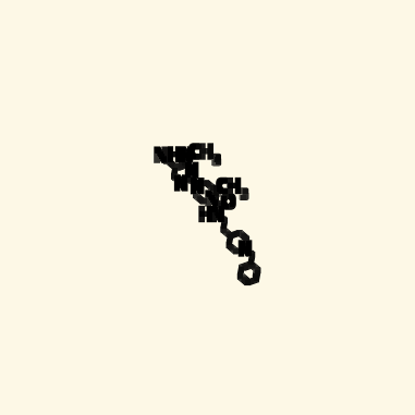 CNc1nc(N2CCN(C(=O)NCCC3CCN(Cc4ccccc4)CC3)[C@H](C)C2)ncc1C#N